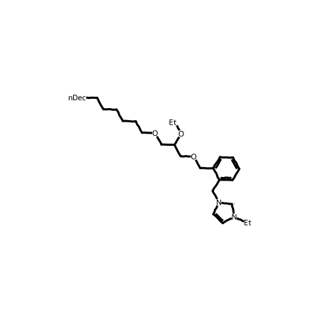 CCCCCCCCCCCCCCCCOCC(COCc1ccccc1CN1[CH]N(CC)C=C1)OCC